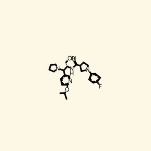 CC(C)Oc1ccc(C([C@H](CO)NC(=O)C2CCN(c3ccc(F)cc3)C2)N2CCCC2)cn1